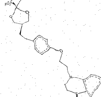 C[C@]1(C(=O)O)OC[C@@H](Cc2ccc(OCCN3CCSc4ccccc43)cc2)CO1